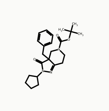 CC(C)(C)OC(=O)N1CCC2=NN(C3CCCC3)C(=O)C2(Cc2ccccc2)C1